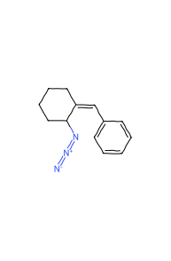 [N-]=[N+]=NC1CCCCC1=Cc1ccccc1